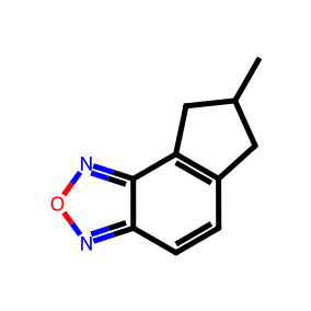 CC1Cc2ccc3nonc3c2C1